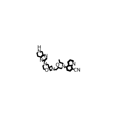 CC1CN(c2ccc(C#N)c3ncccc23)CC(CN2CC3(C2)CN(c2cnc4c(n2)CCNC4)CCO3)O1